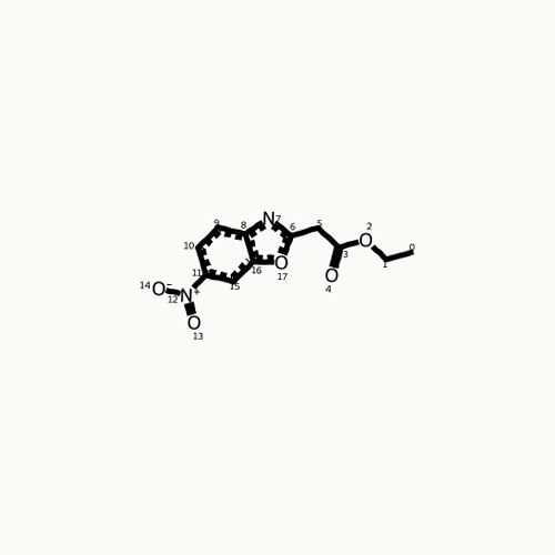 CCOC(=O)Cc1nc2ccc([N+](=O)[O-])cc2o1